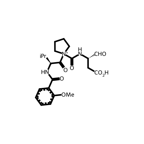 COc1ccccc1C(=O)N[C@H](C(=O)[N+]1(C(=O)N[C@H](C=O)CC(=O)O)CCCC1)C(C)C